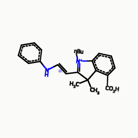 CCCC[N+]1=C(/C=C/Nc2ccccc2)C(C)(C)c2c(C(=O)O)cccc21